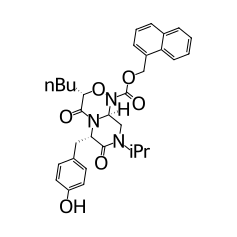 CCCC[C@@H]1ON(C(=O)OCc2cccc3ccccc23)[C@H]2CN(C(C)C)C(=O)[C@H](Cc3ccc(O)cc3)N2C1=O